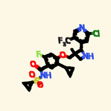 CC1(COc2cc(F)c(C(=O)NS(=O)(=O)C3CC3)cc2C2CC2)CNC1c1cc(Cl)ncc1C(F)(F)F